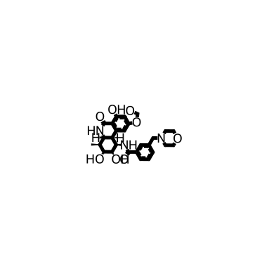 C[C@@H]1[C@H](O)[C@@H](O)[C@H](NC(=O)c2cccc(CN3CCOCC3)c2)[C@@H]2c3cc4c(c(O)c3C(=O)N[C@@H]12)OCO4